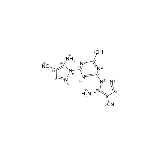 N#Cc1cnn(-c2nc(O)nc(-n3ncc(C#N)c3N)n2)c1N